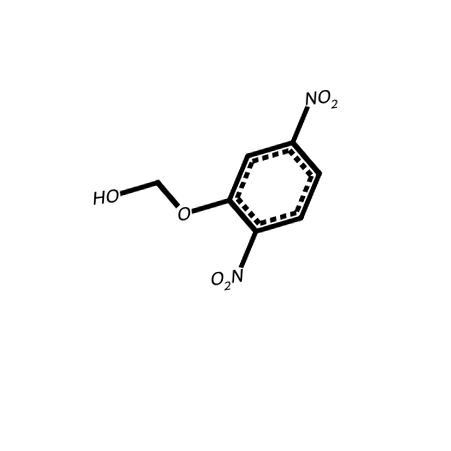 O=[N+]([O-])c1ccc([N+](=O)[O-])c(OCO)c1